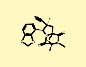 CN1C(=O)[C@@]23C[C@](C)(C#N)[C@H](c4cccc5c4OCO5)N2C(=O)[C@]1(C)S3